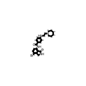 O=C(Nc1ccc(Br)c2c1C(=O)NC2)c1ccc(NCCN2CCCCCC2)cc1